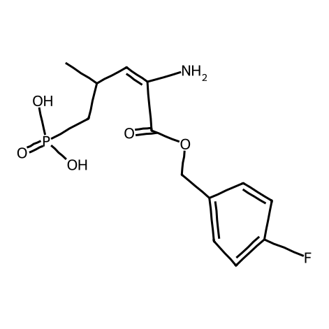 CC(/C=C(/N)C(=O)OCc1ccc(F)cc1)CP(=O)(O)O